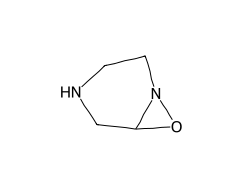 C1CN2OC2CN1